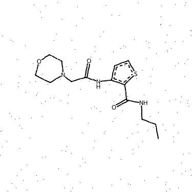 CCCNC(=O)c1sccc1NC(=O)CN1CCOCC1